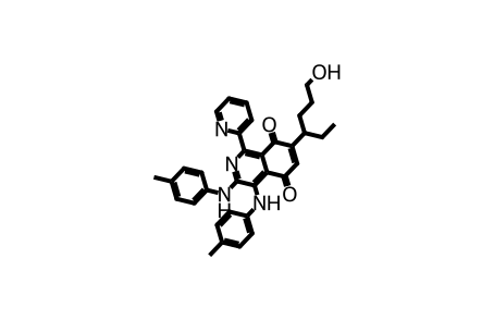 CCC(CCCO)C1=CC(=O)c2c(Nc3ccc(C)cc3)c(Nc3ccc(C)cc3)nc(-c3ccccn3)c2C1=O